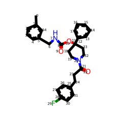 Cc1cccc(CNC(=O)OC2(c3ccccc3)CCN(C(=O)CCc3ccc(F)cc3)CC2)c1